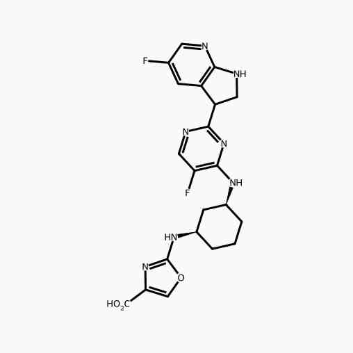 O=C(O)c1coc(N[C@@H]2CCC[C@H](Nc3nc(C4CNc5ncc(F)cc54)ncc3F)C2)n1